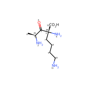 C[C@H](N)C(=O)[C@](N)(CCCCN)C(=O)O